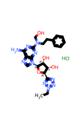 CCn1nnc([C@H]2O[C@@H](n3cnc4c(N)nc(N(CO)CCc5ccccc5)nc43)[C@H](O)[C@@H]2O)n1.Cl